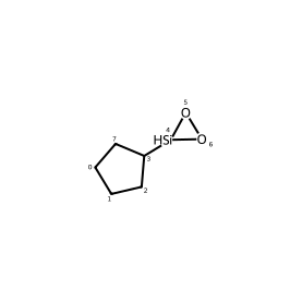 C1CCC([SiH]2OO2)C1